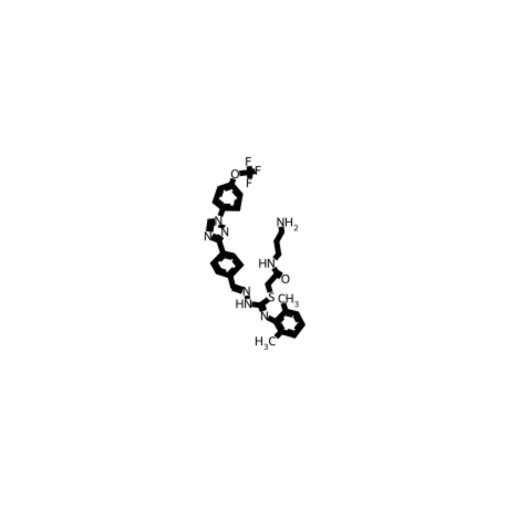 Cc1cccc(C)c1/N=C(/N/N=C/c1ccc(-c2ncn(-c3ccc(OC(F)(F)F)cc3)n2)cc1)SCC(=O)NCCCN